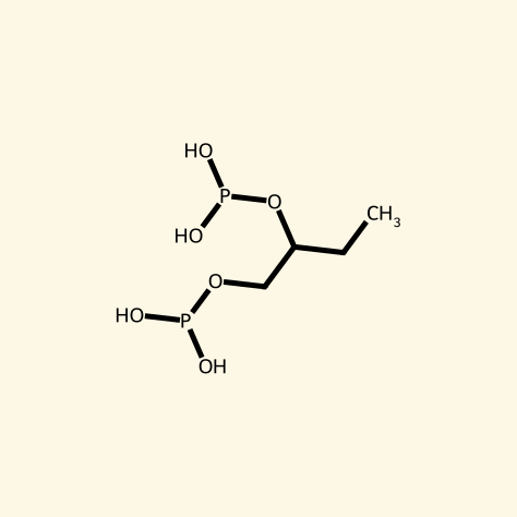 CCC(COP(O)O)OP(O)O